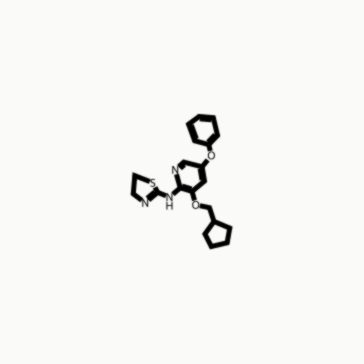 c1ccc(Oc2cnc(NC3=NCCS3)c(OCC3CCCC3)c2)cc1